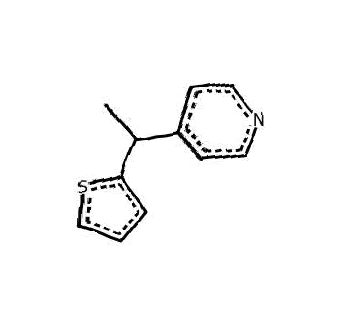 CC(c1ccncc1)c1cccs1